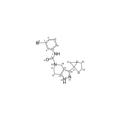 O=C(Nc1cccc(Br)c1)N1CCc2[nH]nc(C34CCCC3C4)c2C1